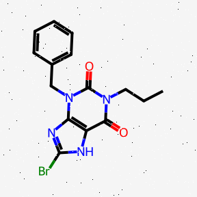 CCCn1c(=O)c2[nH]c(Br)nc2n(Cc2ccccc2)c1=O